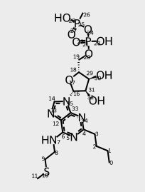 CCCCc1nc(NCCSC)c2ncn([C@@H]3O[C@H](COP(=O)(O)OP(C)(=O)O)[C@@H](O)[C@H]3O)c2n1